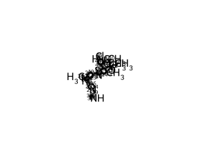 CCOC(=O)[C@@H](OC(C)(C)C)c1c(C)cc2nc(-c3ccc4c(c3)c(C3CCN(C[C@H]5CCN5)CC3)nn4C)sc2c1-c1ccc(Cl)cc1